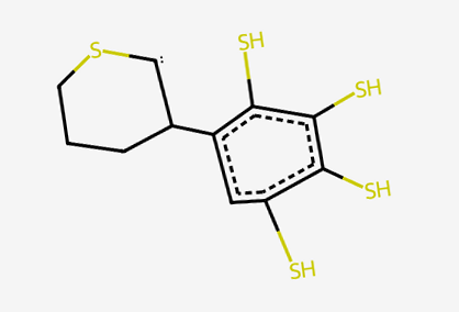 Sc1cc(C2[C]SCCC2)c(S)c(S)c1S